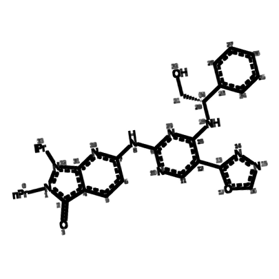 CCCn1c(=O)c2ccc(Nc3ncc(-c4nnco4)c(N[C@H](CO)c4ccccc4)n3)nc2n1C(C)C